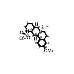 CCS(=O)(=O)N1CCC[C@@H]2CN3CCc4cc(OC)ccc4[C@@H]3C[C@@H]21.Cl